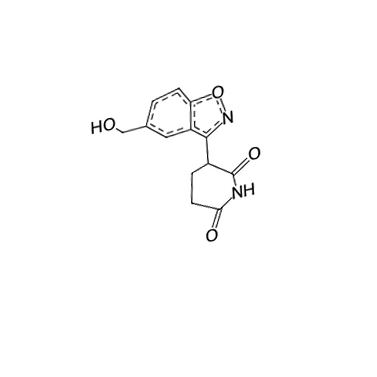 O=C1CCC(c2noc3ccc(CO)cc23)C(=O)N1